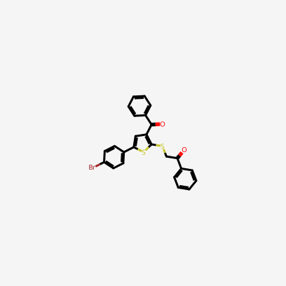 O=C(CSc1sc(-c2ccc(Br)cc2)cc1C(=O)c1ccccc1)c1ccccc1